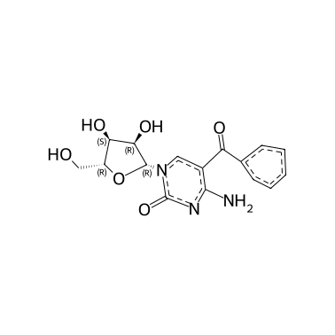 Nc1nc(=O)n([C@@H]2O[C@H](CO)[C@@H](O)[C@H]2O)cc1C(=O)c1ccccc1